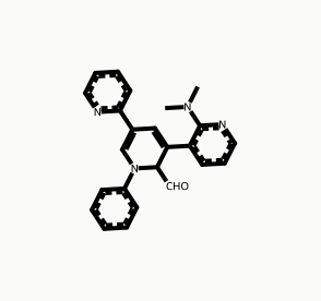 CN(C)c1ncccc1C1=CC(c2ccccn2)=CN(c2ccccc2)C1C=O